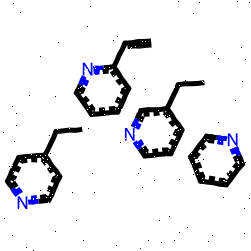 C=Cc1ccccn1.CCc1cccnc1.CCc1ccncc1.c1ccncc1